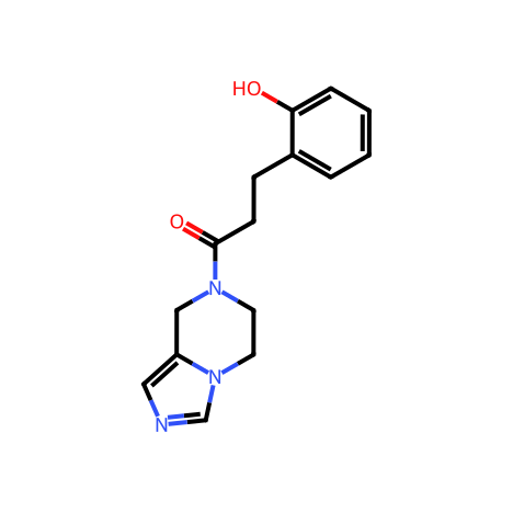 O=C(CCc1ccccc1O)N1CCn2cncc2C1